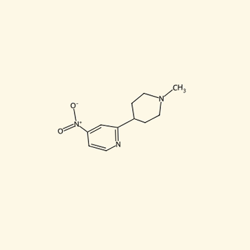 CN1CCC(c2cc([N+](=O)[O-])ccn2)CC1